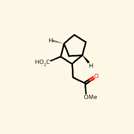 COC(=O)CC1C(C(=O)O)[C@H]2CC[C@H]1C2